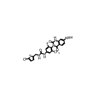 CNc1ccc2c(=O)n(-c3c(F)cc(NC(=O)NCc4ccc(Cl)s4)cc3C(F)(F)F)c(=O)[nH]c2c1